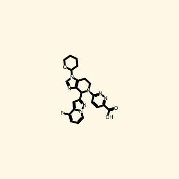 O=C(O)c1ccc(N2CCc3c(ncn3C3CCCCO3)C2c2cc3c(F)cccn3n2)nn1